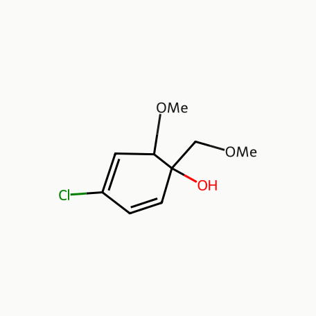 COCC1(O)C=CC(Cl)=CC1OC